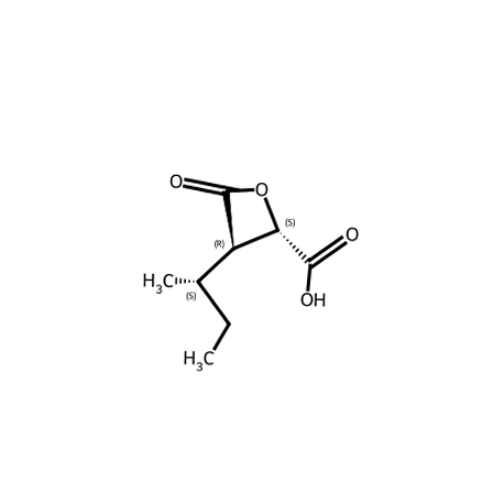 CC[C@H](C)[C@H]1C(=O)O[C@@H]1C(=O)O